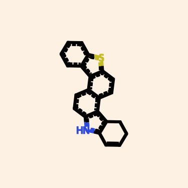 C1=Cc2[nH]c3ccc4c(ccc5sc6ccccc6c54)c3c2CC1